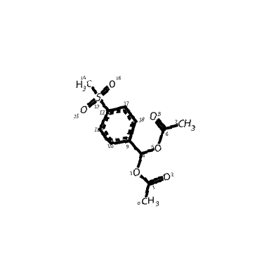 CC(=O)OC(OC(C)=O)c1ccc(S(C)(=O)=O)cc1